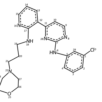 Clc1cccc(Nc2nccc(-c3cccnc3NCCCN3CCOCC3)n2)c1